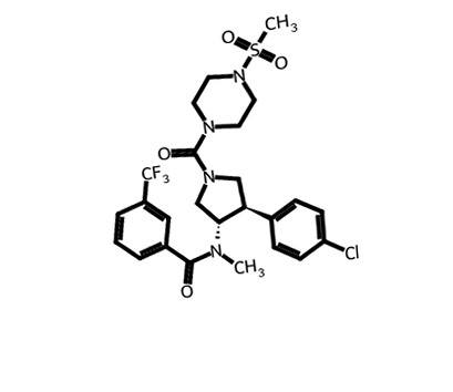 CN(C(=O)c1cccc(C(F)(F)F)c1)[C@@H]1CN(C(=O)N2CCN(S(C)(=O)=O)CC2)C[C@H]1c1ccc(Cl)cc1